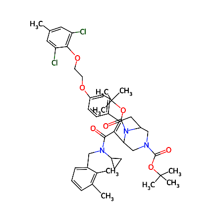 Cc1cc(Cl)c(OCCOc2ccc(C3=C(C(=O)N(Cc4cccc(C)c4C)C4CC4)C4CN(C(=O)OC(C)(C)C)CC(C3)N4C(=O)OC(C)(C)C)cc2)c(Cl)c1